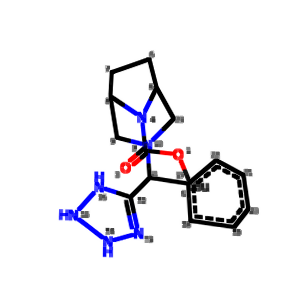 CC(C)(C)OC(=O)N1C2CCC1CN(C(C1=NNNN1)c1ccccc1)C2